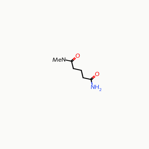 CNC(=O)CCCC(N)=O